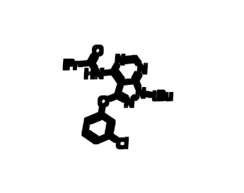 CC(C)C(=O)Nc1ncnc2c1c(Oc1cccc(Cl)c1)nn2C(C)(C)C